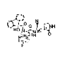 N#C[C@@H](C[C@@H]1CCNC1=O)NC(=O)[C@H]1[C@@H]2CCC(F)(F)[C@@H]2CN1C(=O)C1(O)c2ccccc2-c2ccccc21